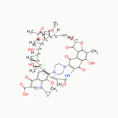 COc1c(N2CCN(C3=C4NC(=O)/C(C)=C\C=C\[C@H](C)[C@H](O)[C@@H](C)[C@@H](O)[C@@H](C)[C@H](OC(C)=O)[C@H](C)[C@@H](OC)/C=C/O[C@@]5(C)Oc6c(C)c(O)c(c(c6C5=O)C3=O)C4=O)CC2)c(F)cc2c(=O)c(C(=O)O)cn(C3CC3)c12